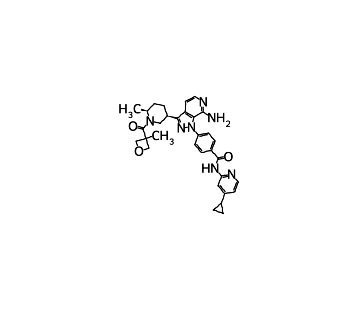 C[C@H]1CC[C@@H](c2nn(-c3ccc(C(=O)Nc4cc(C5CC5)ccn4)cc3)c3c(N)nccc23)CN1C(=O)C1(C)COC1